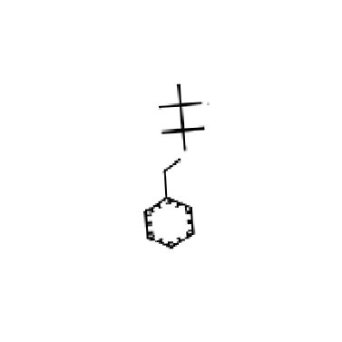 FC(F)(Br)C(F)(F)OCc1ccccc1